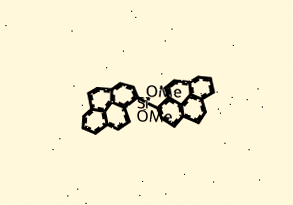 CO[Si](OC)(c1ccc2ccc3cccc4ccc1c2c34)c1ccc2ccc3cccc4ccc1c2c34